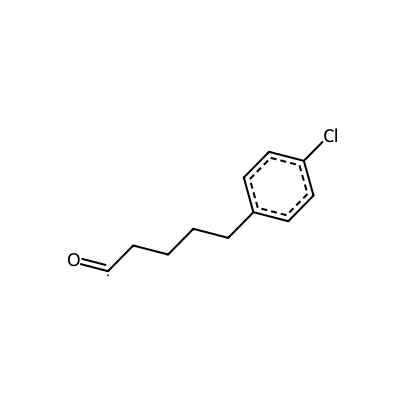 O=[C]CCCCc1ccc(Cl)cc1